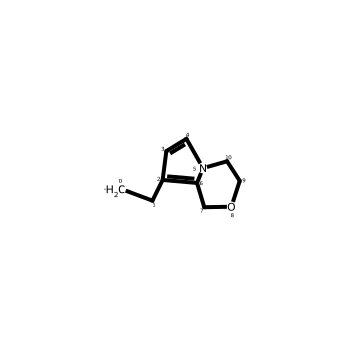 [CH2]Cc1ccn2c1COCC2